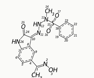 CC(=NO)c1ccc2c(c1)C(=NNN(C)S(=O)(=O)c1ccccc1)C(=O)N2